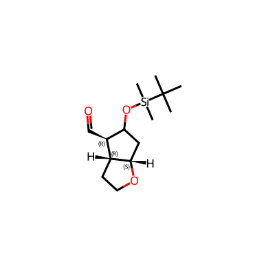 CC(C)(C)[Si](C)(C)OC1C[C@@H]2OCC[C@@H]2[C@H]1C=O